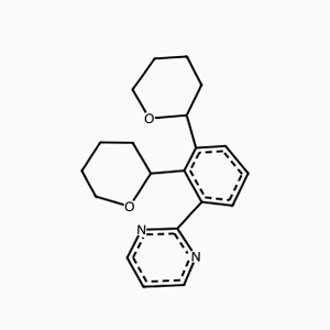 c1cnc(-c2cccc(C3CCCCO3)c2C2CCCCO2)nc1